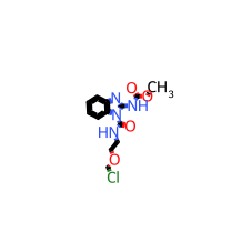 COC(=O)Nc1nc2ccccc2n1C(=O)NCCOCCl